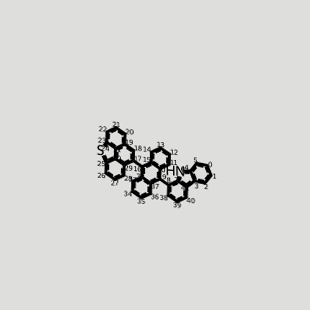 c1ccc2c(c1)[nH]c1c(-c3c4ccccc4c(-c4cc5cccc6sc7cccc4c7c56)c4ccccc34)cccc12